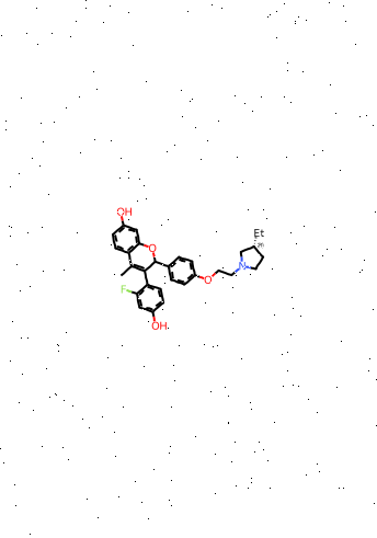 CC[C@@H]1CCN(CCOc2ccc(C3Oc4cc(O)ccc4C(C)=C3c3ccc(O)cc3F)cc2)C1